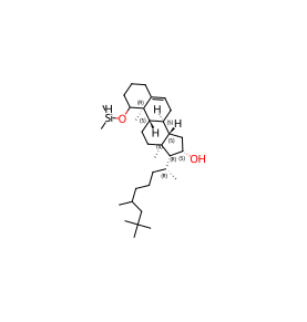 CC(CCC[C@@H](C)[C@H]1[C@@H](O)C[C@H]2[C@@H]3CC=C4CCCC(O[SiH](C)C)[C@]4(C)[C@H]3CC[C@]12C)CC(C)(C)C